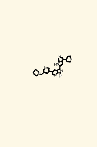 c1cc(-c2cncc3[nH]c(-c4n[nH]c5ncc(-c6cncc(CN7CCCCC7)c6)cc45)cc23)ccn1